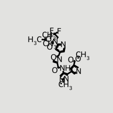 COC(=O)c1cncc(-c2nn(C)cc2NC(=O)c2coc(-c3ccnc(N(CC(F)(F)F)C(=O)OC(C)(C)C)c3)n2)c1